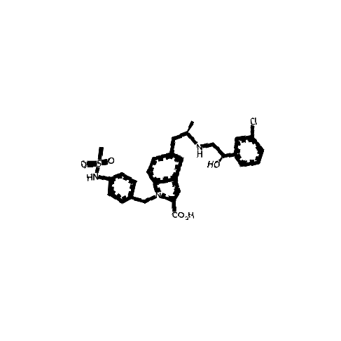 C[C@H](Cc1ccc2c(c1)cc(C(=O)O)n2Cc1ccc(NS(C)(=O)=O)cc1)NC[C@@H](O)c1cccc(Cl)c1